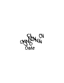 COc1cc(NC(=O)c2cc(N3CCN(C)[C@@H](CC#N)C3)nc(Cl)n2)c2ccccc2c1